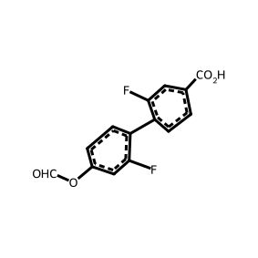 O=COc1ccc(-c2ccc(C(=O)O)cc2F)c(F)c1